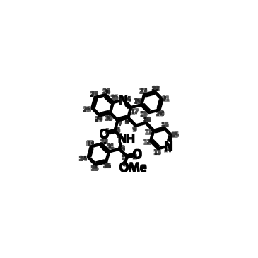 COC(=O)C(NC(=O)c1c(CCc2ccncc2)c(-c2ccccc2)nc2ccccc12)c1ccccc1